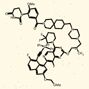 COCOc1cc(-c2ncc3c(N4CCCC(F)(F)C4)nc(OC[C@H](C)CN4CCN(CC5CCC6(CC5)CCN(C(=O)c5ccc(OC)c(N7CCC(=O)NC7=O)c5)CC6)CC4)nc3c2F)c2c(C#C[Si](C(C)C)(C(C)C)C(C)C)c(F)ccc2c1